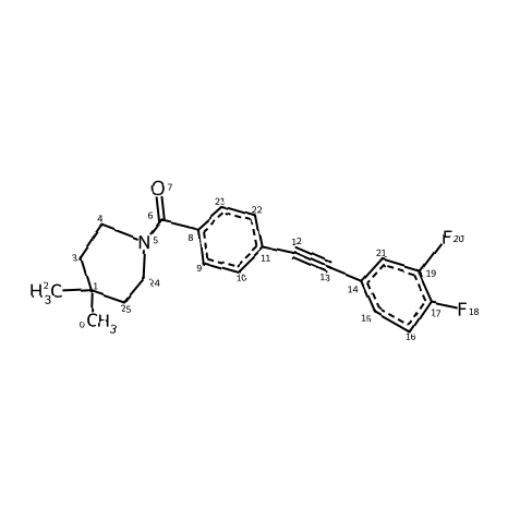 CC1(C)CCN(C(=O)c2ccc(C#Cc3ccc(F)c(F)c3)cc2)CC1